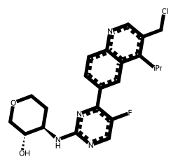 CC(C)c1c(CCl)cnc2ccc(-c3nc(N[C@@H]4CCOC[C@H]4O)ncc3F)cc12